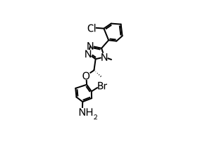 C[C@H](Oc1ccc(N)cc1Br)c1nnc(-c2ccccc2Cl)n1C